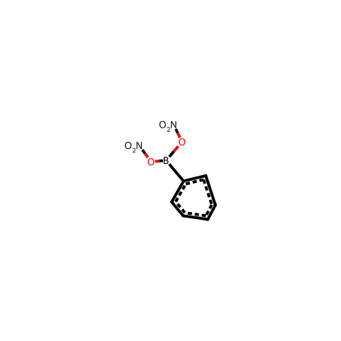 O=[N+]([O-])OB(O[N+](=O)[O-])c1ccccc1